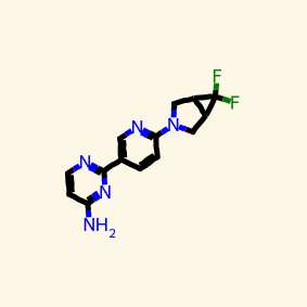 Nc1ccnc(-c2ccc(N3CC4C(C3)C4(F)F)nc2)n1